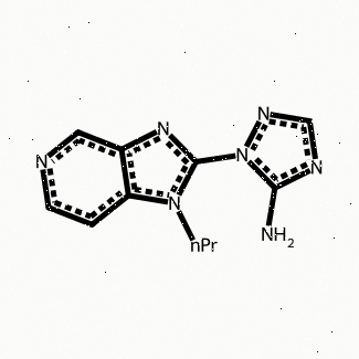 CCCn1c(-n2ncnc2N)nc2cnccc21